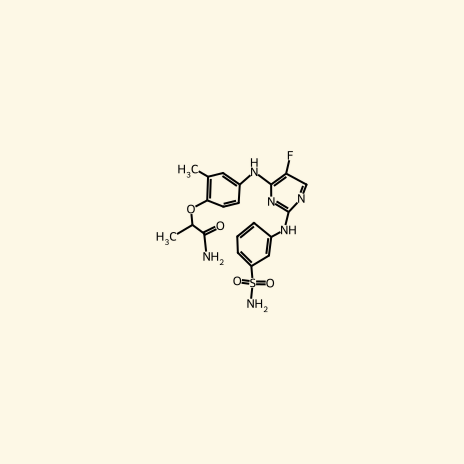 Cc1cc(Nc2nc(Nc3cccc(S(N)(=O)=O)c3)ncc2F)ccc1OC(C)C(N)=O